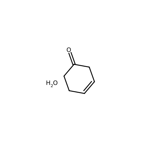 O.O=C1CC=CCC1